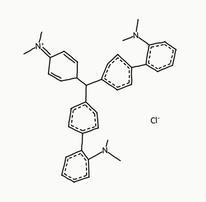 CN(C)c1ccccc1-c1ccc(C(c2ccc(-c3ccccc3N(C)C)cc2)C2C=CC(=[N+](C)C)C=C2)cc1.[Cl-]